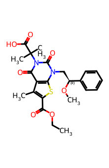 CCOC(=O)c1sc2c(c1C)c(=O)n(C(C)(C)C(=O)O)c(=O)n2C[C@H](OC)c1ccccc1